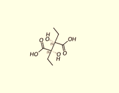 CC[C@@](O)(C(=O)O)[C@@](O)(CC)C(=O)O